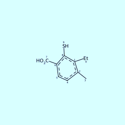 CCc1c(C)ccc(C(=O)O)c1S